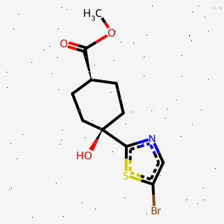 COC(=O)[C@H]1CC[C@](O)(c2ncc(Br)s2)CC1